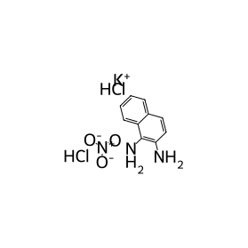 Cl.Cl.Nc1ccc2ccccc2c1N.O=[N+]([O-])[O-].[K+]